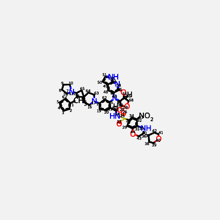 Cc1ccccc1[C@@H]1CCCN1C1CC2(CCN(c3ccc(C(=O)NS(=O)(=O)c4cc5c(c([N+](=O)[O-])c4)N[C@H](C4CCOCC4)CO5)c(N4c5cc6cc[nH]c6nc5O[C@H]5COC[C@H]54)c3)CC2)C1